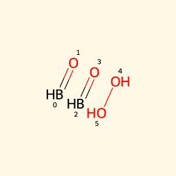 B=O.B=O.OO